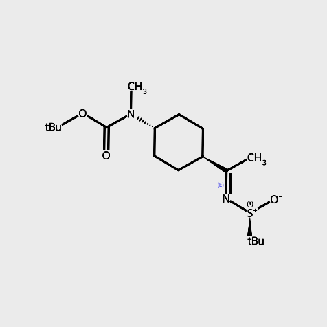 C/C(=N\[S@@+]([O-])C(C)(C)C)[C@H]1CC[C@H](N(C)C(=O)OC(C)(C)C)CC1